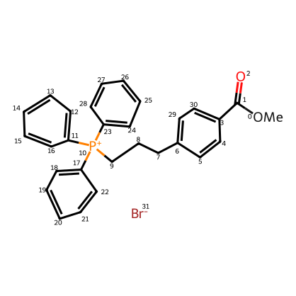 COC(=O)c1ccc(CCC[P+](c2ccccc2)(c2ccccc2)c2ccccc2)cc1.[Br-]